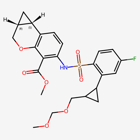 COCOCC1CC1c1cc(F)ccc1S(=O)(=O)Nc1ccc2c(c1C(=O)OC)OC[C@@H]1C[C@H]21